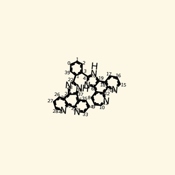 c1ccc(-c2nc3c4cccnc4c4ncccc4c3[nH]2)c(-c2nc3c4cccnc4c4ncccc4c3[nH]2)c1